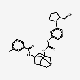 O=C(NC12CC3CC(C1)CC(NC(=O)c1cccc(F)c1)(C3)C2)Oc1cccc(N2CCC[C@H]2CO)n1